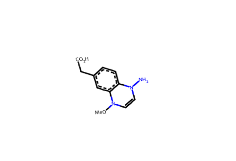 CON1C=CN(N)c2ccc(CC(=O)O)cc21